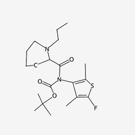 CCCN1CCCCC1C(=O)N(C(=O)OC(C)(C)C)c1c(C)sc(F)c1C